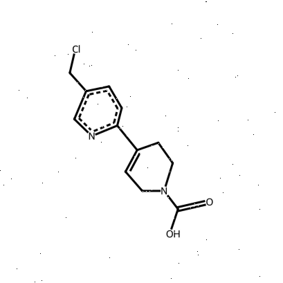 O=C(O)N1CC=C(c2ccc(CCl)cn2)CC1